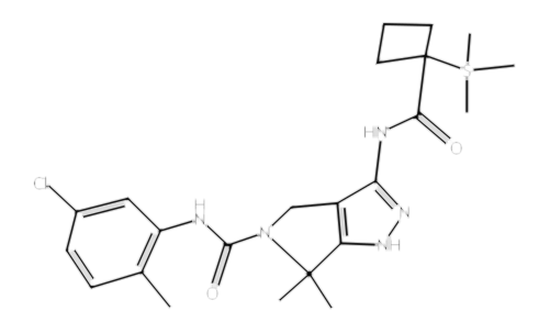 Cc1ccc(Cl)cc1NC(=O)N1Cc2c(NC(=O)C3(S(C)(C)C)CCC3)n[nH]c2C1(C)C